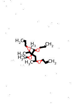 C=CCOC(C)CC(O[SiH3])(C(C)OCC=C)C(C)OCC=C